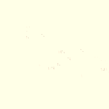 CS(=O)(=O)C(N)c1cc(F)cc(-c2nccc3[nH]c(-c4n[nH]c5c(F)cc(-c6cncc(NC(=O)C7CCC7)c6)cc45)nc23)c1